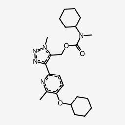 Cc1nc(-c2nnn(C)c2COC(=O)N(C)C2CCCCC2)ccc1OC1CCCCC1